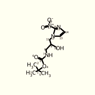 CC(C)(C)OC(=O)NCC(O)Cn1ccnc1[N+](=O)[O-]